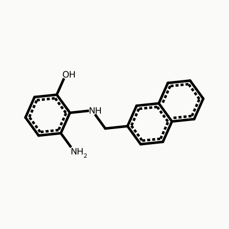 Nc1cccc(O)c1NCc1ccc2ccccc2c1